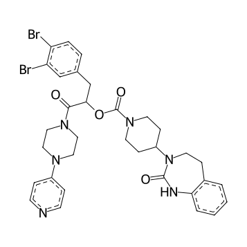 O=C(OC(Cc1ccc(Br)c(Br)c1)C(=O)N1CCN(c2ccncc2)CC1)N1CCC(N2CCc3ccccc3NC2=O)CC1